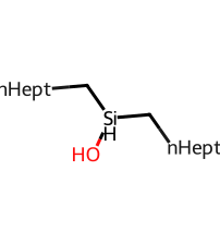 CCCCCCCC[SiH](O)CCCCCCCC